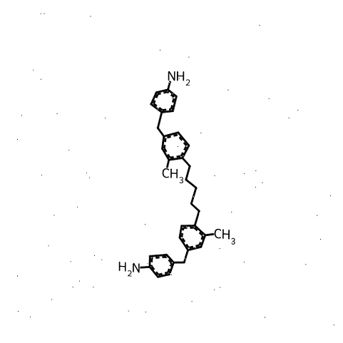 Cc1cc(Cc2ccc(N)cc2)ccc1CCCCCc1ccc(Cc2ccc(N)cc2)cc1C